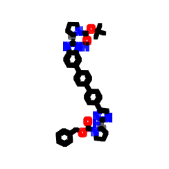 CC(C)(C)OC(=O)N1CCC[C@H]1c1nc2ccc(-c3ccc(-c4ccc(-c5cnc([C@@H]6CCCN6C(=O)OCc6ccccc6)[nH]5)cc4)cc3)cc2[nH]1